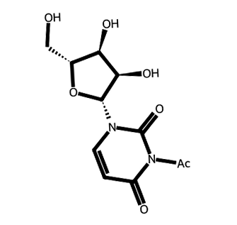 CC(=O)n1c(=O)ccn([C@@H]2O[C@H](CO)[C@@H](O)[C@H]2O)c1=O